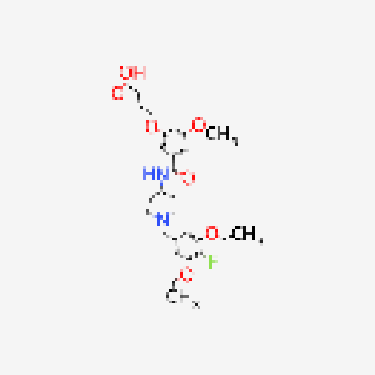 CCOc1cc(CN2CCC(NC(=O)c3cc(OC)cc(OCCCC(=O)O)c3)CC2)cc(OCC)c1F